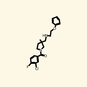 CC1(CNCCOc2ccccc2)CCN(C(=O)c2ccc(F)c(Cl)c2)C1